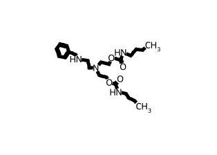 CCCCNC(=O)OCCN(CCNCc1ccccc1)CCOC(=O)NCCCC